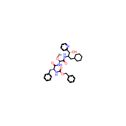 CC(C)O[C@H](NC(=O)[C@H](Cc1ccccc1)NC(=O)OCc1ccccc1)C(=O)NC(CC1CCCCC1)[C@@H](O)c1ccccn1